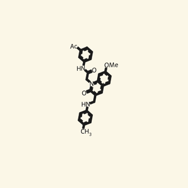 COc1ccc2cc(CNc3ccc(C)cc3)c(=O)n(CC(=O)Nc3cccc(C(C)=O)c3)c2c1